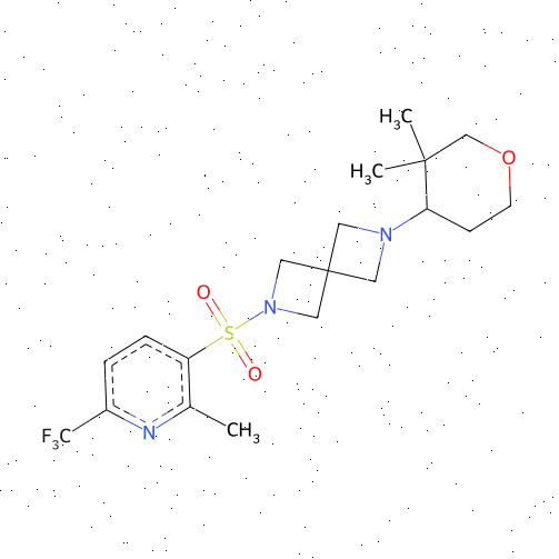 Cc1nc(C(F)(F)F)ccc1S(=O)(=O)N1CC2(CN(C3CCOCC3(C)C)C2)C1